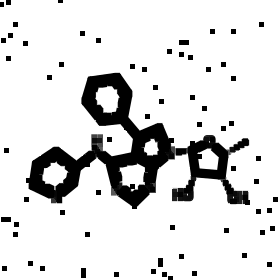 C[C@H]1O[C@@H](n2cc(-c3ccccc3)c3c(Nc4cccnc4)ncnc32)[C@@H](O)[C@H]1O